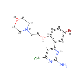 Nc1nc(Cl)cc(-c2cc(Br)ccc2OCCN2CCOCC2)n1